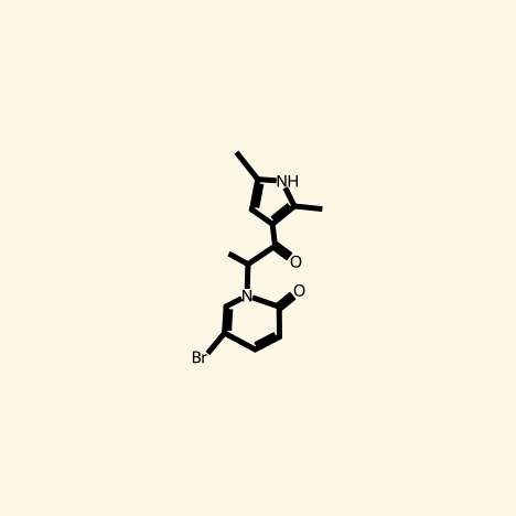 Cc1cc(C(=O)C(C)n2cc(Br)ccc2=O)c(C)[nH]1